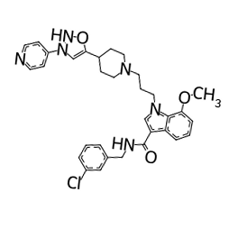 COc1cccc2c(C(=O)NCc3cccc(Cl)c3)cn(CCCN3CCC(C4=CN(c5ccncc5)NO4)CC3)c12